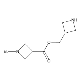 CCN1CC(C(=O)OCC2CNC2)C1